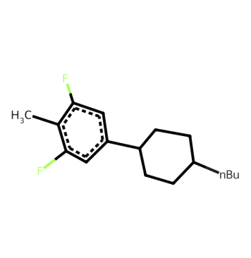 CCCCC1CCC(c2cc(F)c(C)c(F)c2)CC1